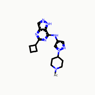 CC(=O)N1CCC(n2cc(Nc3nc(C4CCC4)nc4cn[nH]c34)cn2)CC1